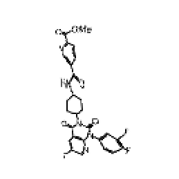 COC(=O)c1ccc(C(=O)NC2CCC(n3c(=O)c4cc(F)cnc4n(-c4ccc(F)c(F)c4)c3=O)CC2)cn1